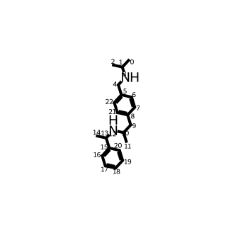 CC(C)NCc1ccc(CC(C)NC(C)c2ccccc2)cc1